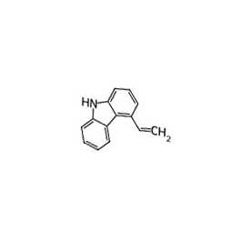 C=Cc1cccc2[nH]c3ccccc3c12